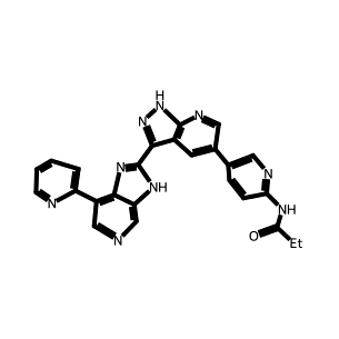 CCC(=O)Nc1ccc(-c2cnc3[nH]nc(-c4nc5c(-c6ccccn6)cncc5[nH]4)c3c2)cn1